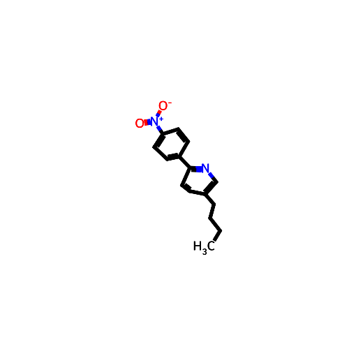 CCCCc1ccc(-c2ccc([N+](=O)[O-])cc2)nc1